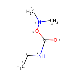 CCNC(=O)ON(C)C